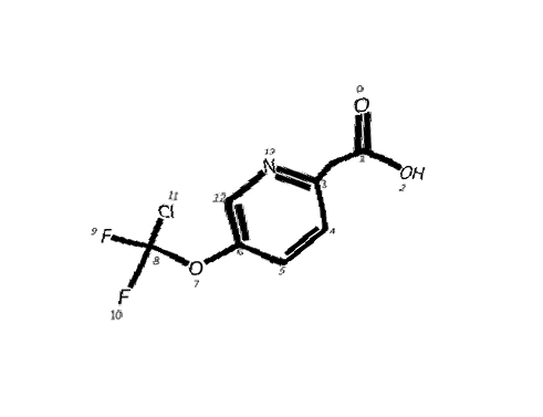 O=C(O)c1ccc(OC(F)(F)Cl)cn1